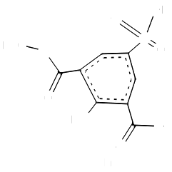 COC(=O)c1cc(S(=O)(=O)O)cc(C(=O)[O-])c1C.[Li+]